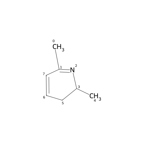 CC1=NC(C)CC=C1